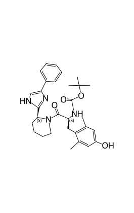 Cc1cc(O)cc(C)c1C[C@H](NC(=O)OC(C)(C)C)C(=O)N1CCCC[C@H]1c1nc(-c2ccccc2)c[nH]1